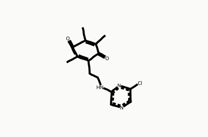 CC1=C(C)C(=O)C(CCNc2cncc(Cl)n2)=C(C)C1=O